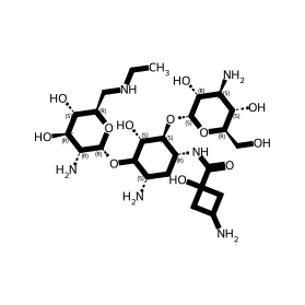 CCNC[C@H]1O[C@H](OC2[C@@H](N)C[C@@H](NC(=O)C3(O)CC(N)C3)[C@H](O[C@H]3O[C@H](CO)[C@@H](O)[C@H](N)[C@H]3O)[C@H]2O)[C@H](N)[C@@H](O)[C@@H]1O